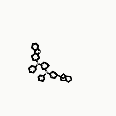 c1ccc(N(c2ccc(C34CC5CCCC5(C3)C4)cc2)c2cccc(N(c3ccccc3)c3ccc4c(c3)sc3ccccc34)c2)cc1